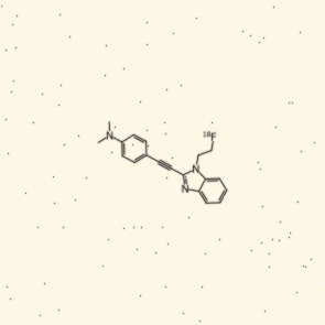 CN(C)c1ccc(C#Cc2nc3ccccc3n2CC[18F])cc1